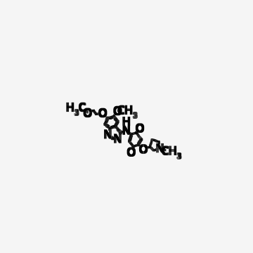 COCCOc1cc2ncnc(NC3=CC(=O)C(OC4CCN(C)C4)=CC3=O)c2cc1OC